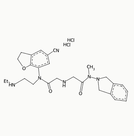 CCNCCN(C(=O)CNCC(=O)N(C)N1Cc2ccccc2C1)c1cc(C#N)cc2c1OCC2.Cl.Cl